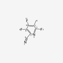 Cc1c(F)nc(C#N)c(F)c1F